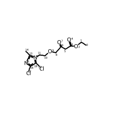 CCOC(=O)CC(=O)COCCn1c(C)nc(Cl)c1Cl